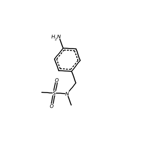 CN(Cc1ccc(N)cc1)S(C)(=O)=O